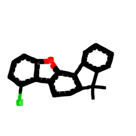 CC1(C)c2ccccc2-c2c1ccc1c2oc2cccc(Cl)c21